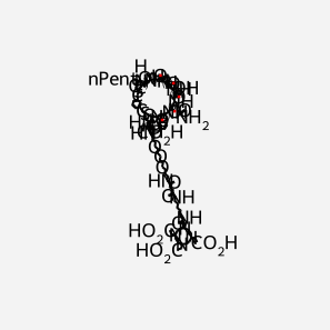 CCCCCC(=O)N[C@H]1CSCc2cccc(c2)CSC[C@@H](C(=O)N[C@@H](CC(=O)O)C(=O)NCCCOCCOCCOCCCNC(=O)CCC(=O)NCCCCCNC(=O)CN2CCN(CC(=O)O)CCN(CC(=O)O)CCN(CC(=O)O)CC2)NC(=O)[C@H](Cc2ccccc2)NC(=O)[C@H](CCC(N)=O)NC(=O)[C@H]([C@@H](C)O)NC(=O)[C@@H]2CCCN2C(=O)[C@@H]2CCCN2C1=O